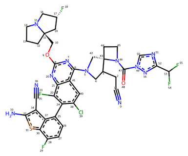 N#CCC1CN(c2nc(OC[C@@]34CCCN3C[C@H](F)C4)nc3c(F)c(-c4ccc(F)c5sc(N)c(C#N)c45)c(Cl)cc23)C[C@@]12CCN2C(=O)n1cnc(C(F)F)n1